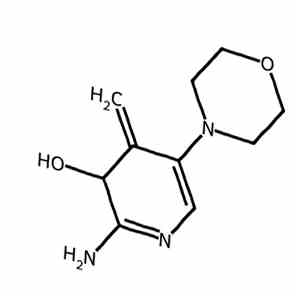 C=C1C(N2CCOCC2)=CN=C(N)C1O